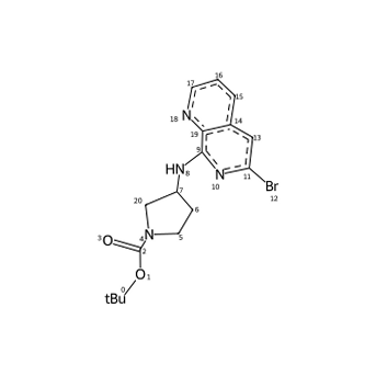 CC(C)(C)OC(=O)N1CCC(Nc2nc(Br)cc3cccnc23)C1